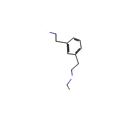 NCCc1cccc(CCNCC(=O)O)c1